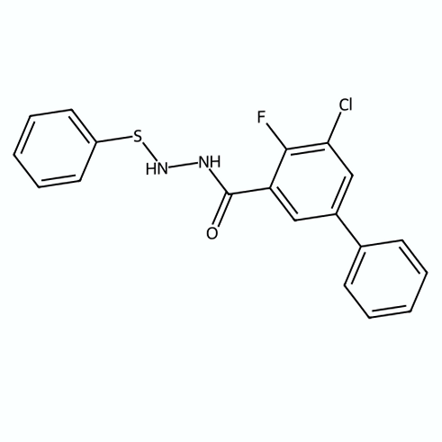 O=C(NNSc1ccccc1)c1cc(-c2ccccc2)cc(Cl)c1F